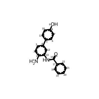 Nc1ccc(-c2ccc(O)cc2)cc1NC(=O)c1ccccc1